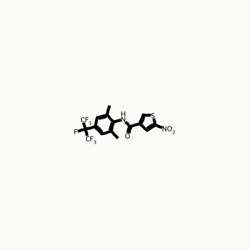 Cc1cc(C(F)(C(F)(F)F)C(F)(F)F)cc(C)c1NC(=O)c1csc([N+](=O)[O-])c1